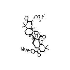 COC(=O)[C@]12CCC(C)(C)C[C@@H]1[C@H]1C(=O)C=C3[C@@]4(C)C=C(C(=O)O)C(=O)C(C)(C)C4CC[C@@]3(C)[C@]1(C)CC2